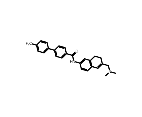 CN(C)CC1=Cc2ccc(NC(=O)c3ccc(-c4ccc(C(F)(F)F)cc4)cc3)cc2CC1